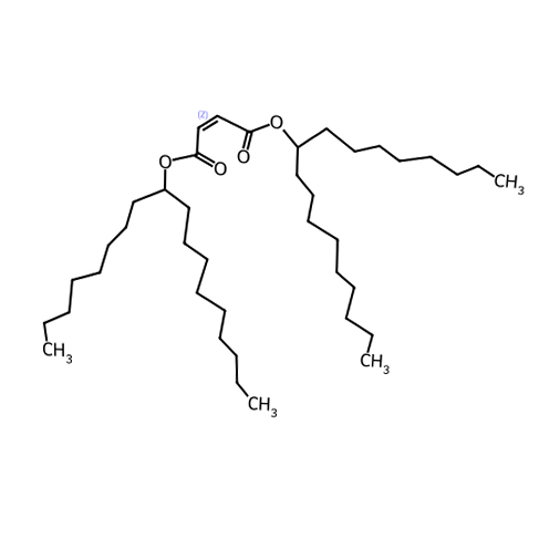 CCCCCCCCCC(CCCCCCCC)OC(=O)/C=C\C(=O)OC(CCCCCCCC)CCCCCCCCC